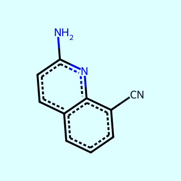 N#Cc1cccc2ccc(N)nc12